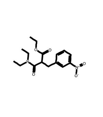 CCOC(=O)C(Cc1cccc([N+](=O)[O-])c1)C(=O)N(CC)CC